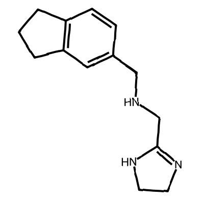 c1cc2c(cc1CNCC1=NCCN1)CCC2